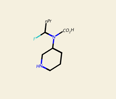 CCCC(F)N(C(=O)O)C1CCCNC1